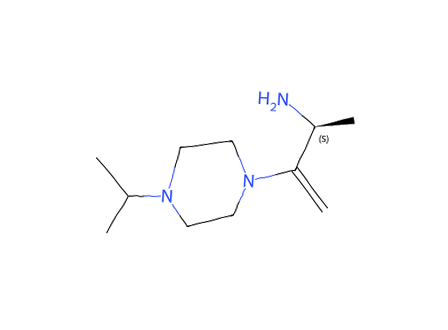 C=C([C@H](C)N)N1CCN(C(C)C)CC1